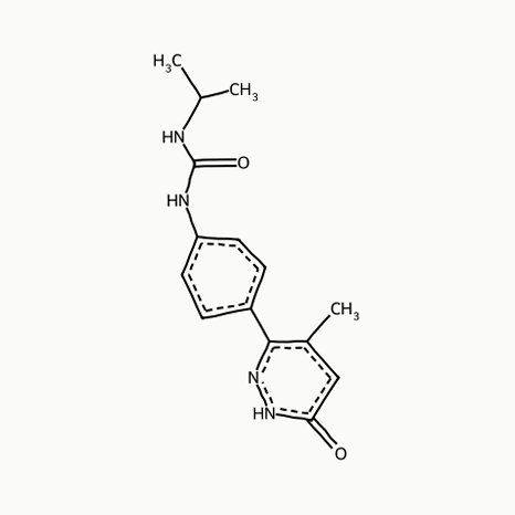 Cc1cc(=O)[nH]nc1-c1ccc(NC(=O)NC(C)C)cc1